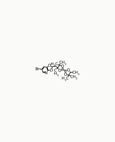 CC1OB(B2OC(C)(C)C(C)(CC3Oc4cc(Br)cnc4O3)O2)OC1(C)C